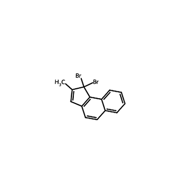 CC1=Cc2ccc3ccccc3c2C1(Br)Br